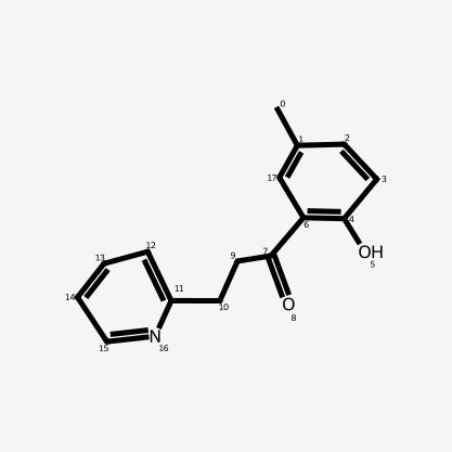 Cc1ccc(O)c(C(=O)CCc2ccccn2)c1